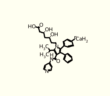 CC(C)c1c(C(=O)Nc2ccncc2)c(-c2ccccc2)c(-c2ccc(F)cc2)n1CC[C@@H](O)C[C@@H](O)CC(=O)O.[CaH2]